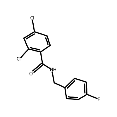 O=C(NCc1ccc(F)cc1)c1ccc(Cl)cc1Cl